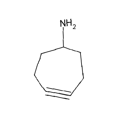 NC1CCC#CCC1